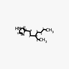 CCCCC(CC)CCc1c[nH]cn1